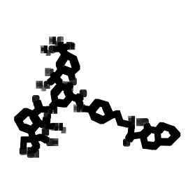 CCC(C)(C)c1ccc(Oc2ccc(NC(=O)c3cccc(C(CO)(CO)CO)c3S(N)(=O)=O)cc2C(=O)Nc2ccc(CCNC(=O)c3ccc4ccccc4c3O)cc2)c(C(C)(C)CC)c1